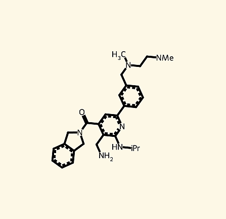 CNCCN(C)Cc1cccc(-c2cc(C(=O)N3Cc4ccccc4C3)c(CN)c(NC(C)C)n2)c1